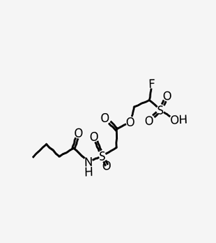 CCCC(=O)NS(=O)(=O)CC(=O)OCC(F)S(=O)(=O)O